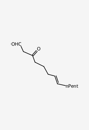 CCCCCC=CCCCC(=O)C[C]=O